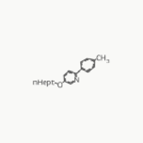 [CH2+][CH-]CCCCCOc1ccc(-c2ccc(C)cc2)nc1